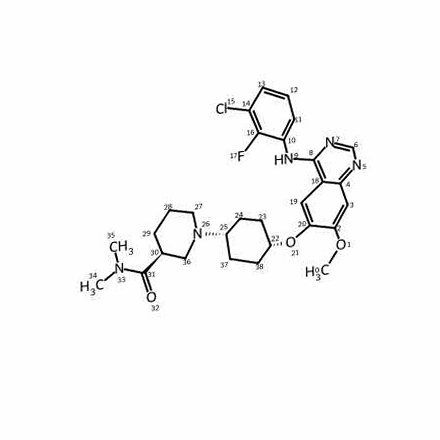 COc1cc2ncnc(Nc3cccc(Cl)c3F)c2cc1O[C@H]1CC[C@@H](N2CCC[C@H](C(=O)N(C)C)C2)CC1